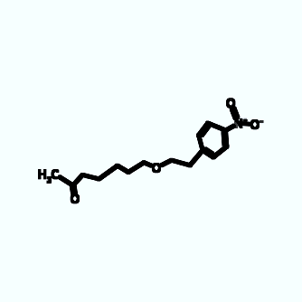 CC(=O)CCCCCOCCc1ccc([N+](=O)[O-])cc1